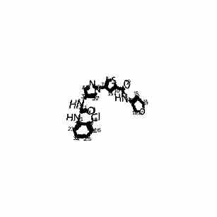 O=C(Nc1cnn(-c2csc(C(=O)N[C@@H]3CCOC3)c2)c1)Nc1ccccc1Cl